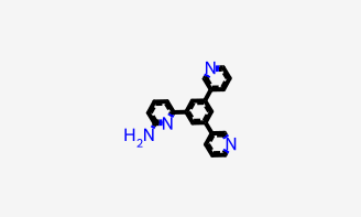 Nc1cccc(-c2cc(-c3cccnc3)cc(-c3cccnc3)c2)n1